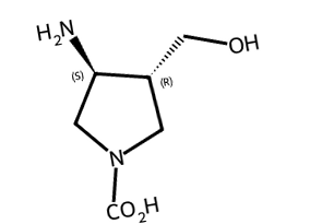 N[C@@H]1CN(C(=O)O)C[C@H]1CO